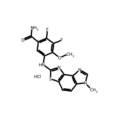 COc1c(Nc2nc3c(ccc4c3ncn4C)s2)cc(C(N)=O)c(F)c1F.Cl